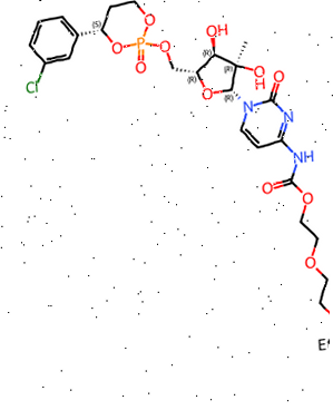 CCOCCOCCOC(=O)Nc1ccn([C@@H]2O[C@H](COP3(=O)OCC[C@@H](c4cccc(Cl)c4)O3)[C@@H](O)[C@@]2(C)O)c(=O)n1